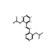 CC(C)Cc1ccccc1C=Cc1ccccc1CC(C)C